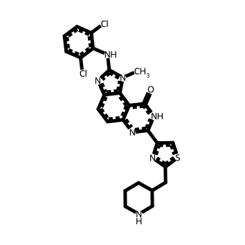 Cn1c(Nc2c(Cl)cccc2Cl)nc2ccc3nc(-c4csc(CC5CCCNC5)n4)[nH]c(=O)c3c21